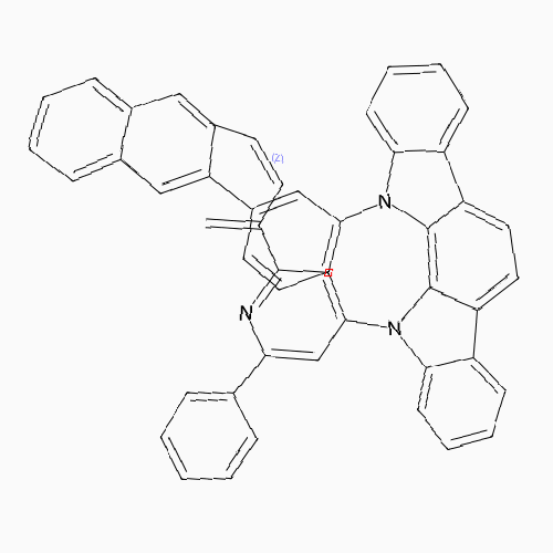 C=C(/C=C\C)c1cc(-n2c3ccccc3c3ccc4c5ccccc5n(-c5cccc(-c6ccc7ccccc7c6)c5)c4c32)cc(-c2ccccc2)n1